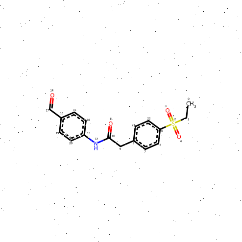 CCS(=O)(=O)c1ccc(CC(=O)Nc2ccc(C=O)cc2)cc1